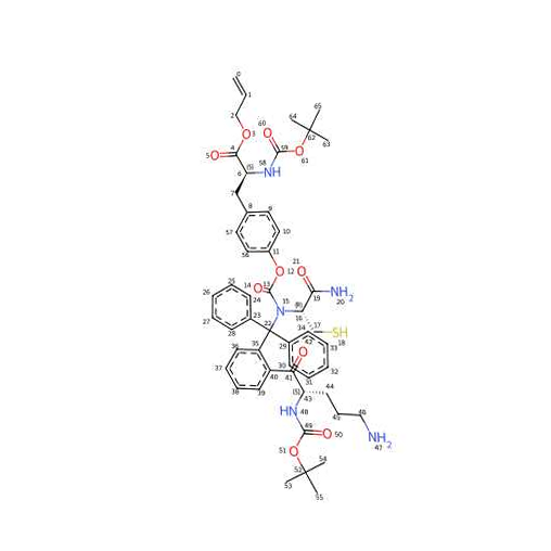 C=CCOC(=O)[C@H](Cc1ccc(OC(=O)N([C@@H](CS)C(N)=O)C(c2ccccc2)(c2ccccc2)c2ccccc2C(=O)[C@H](CCCN)NC(=O)OC(C)(C)C)cc1)NC(=O)OC(C)(C)C